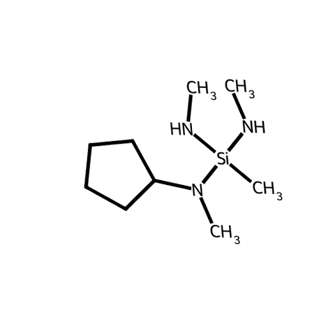 CN[Si](C)(NC)N(C)C1CCCC1